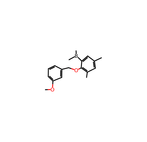 COc1cccc(COc2c(C)cc(C)cc2B(C)C)c1